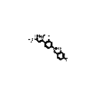 CN1NC(C(F)(F)F)C=C1c1ccc(NCc2ccc(F)cc2F)cc1F